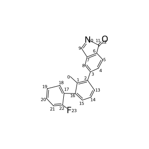 Cc1c(-c2ccc3c(c2)C=NC3=O)cccc1-c1ccccc1F